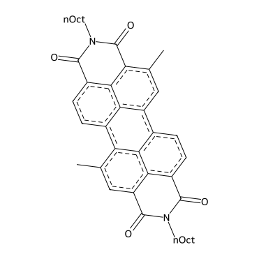 CCCCCCCCN1C(=O)c2ccc3c4c(C)cc5c6c(ccc(c7cc(C)c(c2c73)C1=O)c64)C(=O)N(CCCCCCCC)C5=O